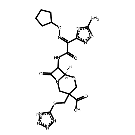 Nc1nc(C(=NOC2CCCC2)C(=O)NC2C(=O)N3CC(CSc4nnn[nH]4)(C(=O)O)CS[C@H]23)ns1